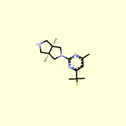 Cc1cc(C(C)(C)F)nc(N2C[C@H]3CNC[C@H]3C2)n1